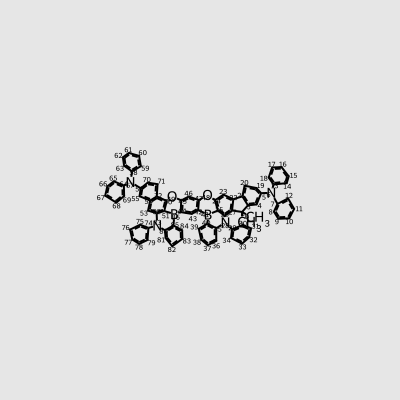 CC1(C)c2cc(N(c3ccccc3)c3ccccc3)ccc2-c2cc3c4c(c21)N(c1ccccc1)c1ccccc1B4c1cc2c(cc1O3)Oc1c3c(cc4cc(N(c5ccccc5)c5ccccc5)ccc14)N(c1ccccc1)c1ccccc1B23